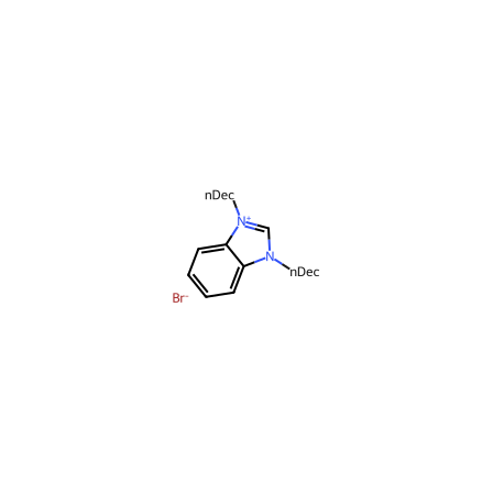 CCCCCCCCCCn1c[n+](CCCCCCCCCC)c2ccccc21.[Br-]